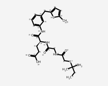 BC(C)(CC)SCC(=O)NCC(=O)N[C@@H](CCC(=O)O)C(=O)Nc1cccc(Cc2ccc(C)s2)c1